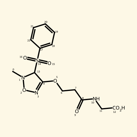 CN1ON=C(OCCC(=O)NCC(=O)O)C1S(=O)(=O)c1ccccc1